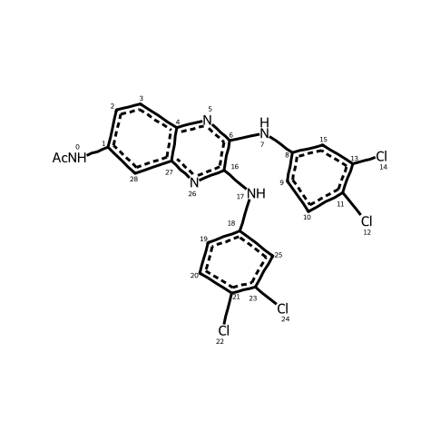 CC(=O)Nc1ccc2nc(Nc3ccc(Cl)c(Cl)c3)c(Nc3ccc(Cl)c(Cl)c3)nc2c1